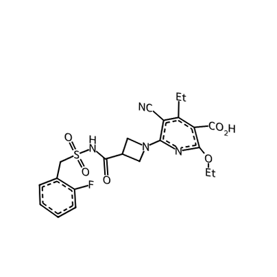 CCOc1nc(N2CC(C(=O)NS(=O)(=O)Cc3ccccc3F)C2)c(C#N)c(CC)c1C(=O)O